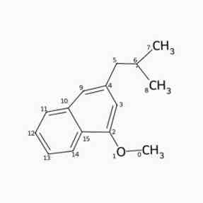 COc1cc(C[C](C)C)cc2ccccc12